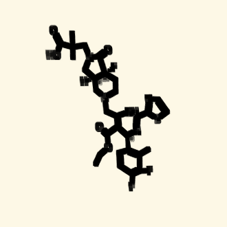 CCOC(=O)C1=C(CN2CC[C@]3(F)C(=O)N(CC(C)(C)C(=O)O)C[C@@H]3C2)NC(c2nccs2)=N[C@H]1c1ccc(F)c(F)c1C